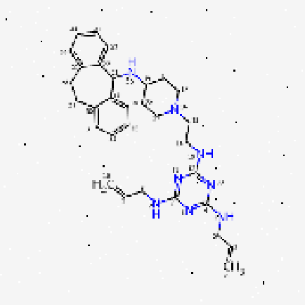 C=CCNc1nc(NCC=C)nc(NCCN2CCC(NC3c4ccccc4CCc4ccccc43)CC2)n1